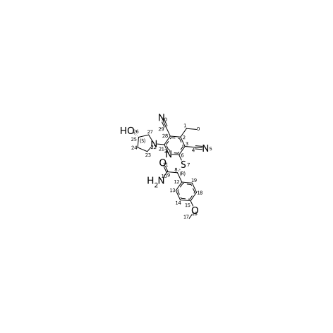 CCc1c(C#N)c(S[C@@H](C(N)=O)c2ccc(OC)cc2)nc(N2CC[C@H](O)C2)c1C#N